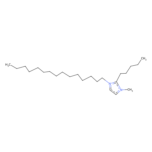 CCCCCCCCCCCCCCC[n+]1ccn(C)c1CCCCC